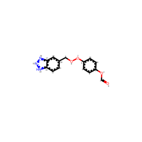 O=COc1ccc(OOCc2ccc3[nH]nnc3c2)cc1